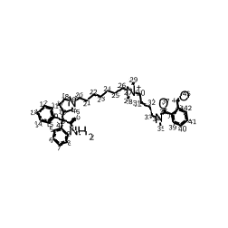 C=C(N)C(c1ccccc1)(c1ccccc1)C1CCN(CCCCCCC[N+](C)(C)CCCCN(C)C(=O)c2ccccc2C=O)C1